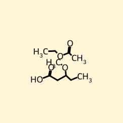 CCC(CC(=O)O)OC.CCOC(C)=O